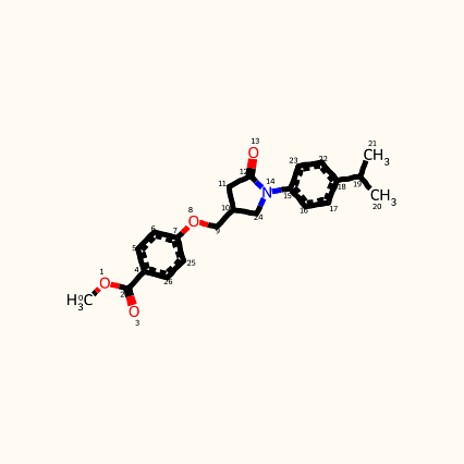 COC(=O)c1ccc(OCC2CC(=O)N(c3ccc(C(C)C)cc3)C2)cc1